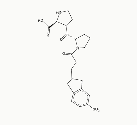 O=C(C1CCN[C@@H]1C(O)=S)[C@@H]1CCCN1C(=O)CCC1Cc2ccc([N+](=O)[O-])cc2C1